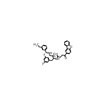 CCc1cccc(CNCC(O)C(Cc2cc(F)cc(F)c2)NC(=O)CCC(=O)c2ccc3oc4ccccc4c3c2)c1